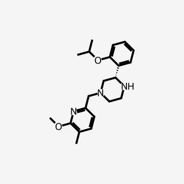 COc1nc(CN2CCN[C@@H](c3ccccc3OC(C)C)C2)ccc1C